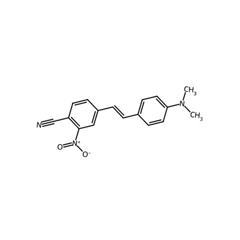 CN(C)c1ccc(/C=C/c2ccc(C#N)c([N+](=O)[O-])c2)cc1